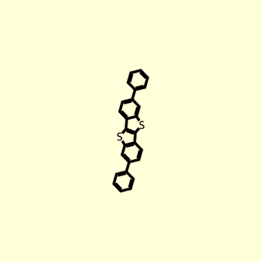 c1ccc(-c2ccc3c(c2)sc2c4ccc(-c5ccccc5)cc4sc32)cc1